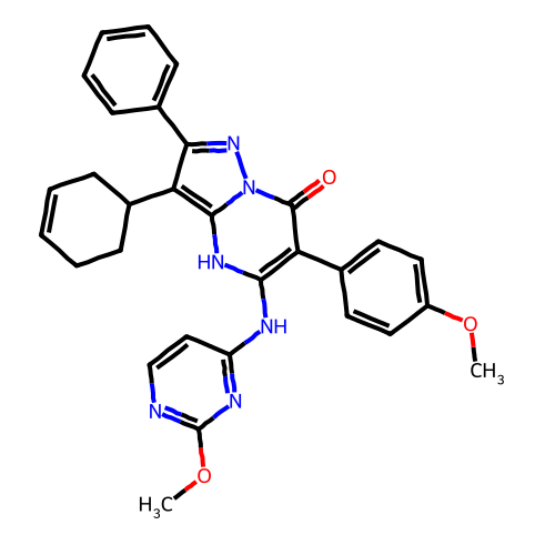 COc1ccc(-c2c(Nc3ccnc(OC)n3)[nH]c3c(C4CC=CCC4)c(-c4ccccc4)nn3c2=O)cc1